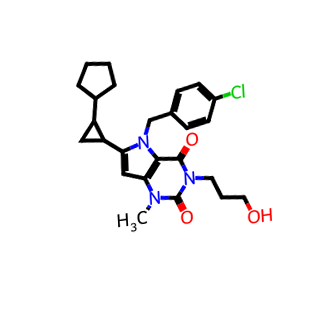 Cn1c(=O)n(CCCO)c(=O)c2c1cc(C1CC1C1CCCC1)n2Cc1ccc(Cl)cc1